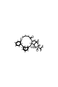 O=C1CCCOc2ccccc2-c2cccc(c2F)CC2C(NS(=O)(=O)C(F)F)C(F)(F)CN12